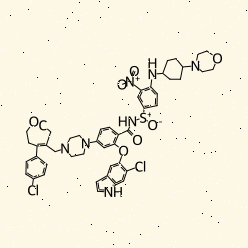 O=C(N[S+]([O-])c1ccc(NC2CCC(N3CCOCC3)CC2)c([N+](=O)[O-])c1)c1ccc(N2CCN(CC3=C(c4ccc(Cl)cc4)CCOCC3)CC2)cc1Oc1cc2cc[nH]c2cc1Cl